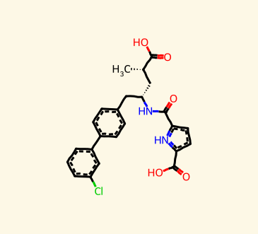 C[C@@H](C[C@@H](Cc1ccc(-c2cccc(Cl)c2)cc1)NC(=O)c1ccc(C(=O)O)[nH]1)C(=O)O